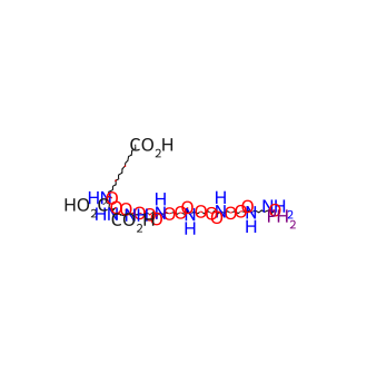 N[C@@H](CCCCNC(=O)COCCOCCNC(=O)COCCOCCNC(=O)COCCOCCNC(=O)COCCOCCNC(=O)CC[C@H](NC(=O)CC[C@H](NC(=O)CCCCCCCCCCCCCCCCC(=O)O)C(=O)O)C(=O)O)C(=O)P